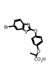 CC(Oc1ccc(Oc2nc3ccc(Br)cc3s2)cc1)C(=O)O